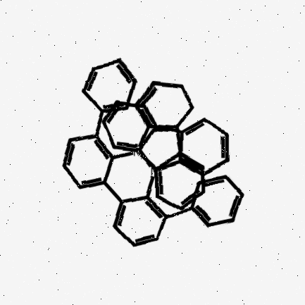 C1=Cc2c(c3ccccc3n2-c2c(-c3ccccc3)cccc2-c2cccc(-c3ccccc3)c2-n2c3ccccc3c3ccccc32)CC1